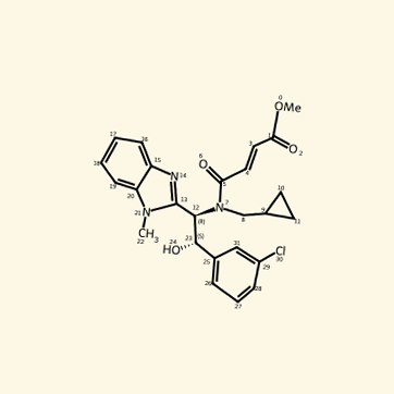 COC(=O)C=CC(=O)N(CC1CC1)[C@H](c1nc2ccccc2n1C)[C@@H](O)c1cccc(Cl)c1